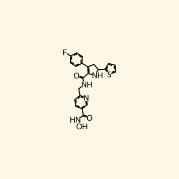 O=C(NCc1ccc(C(=O)NO)cn1)C1=C(c2ccc(F)cc2)CC(c2cccs2)N1